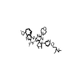 COc1cccc2c1nc(C(F)F)n2-c1nc(Nc2ccc(OCCN(C)C)nc2)nc(N2CCOCC2)n1